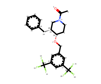 CC(=O)N1CC[C@H](OCc2cc(C(F)(F)F)cc(C(F)(F)F)c2)[C@H](Cc2ccccc2)C1